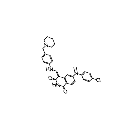 O=C1NC(=O)c2ccc(Nc3ccc(Cl)cc3)cc2C1=CNc1ccc(CN2CCCCC2)cc1